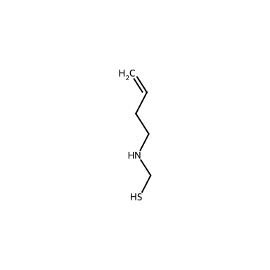 C=CCCNCS